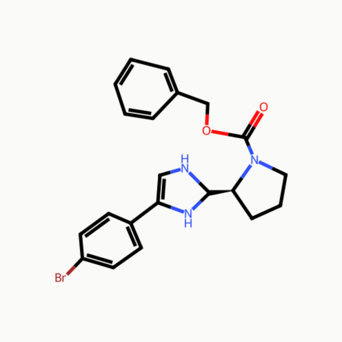 O=C(OCc1ccccc1)N1CCC[C@H]1C1NC=C(c2ccc(Br)cc2)N1